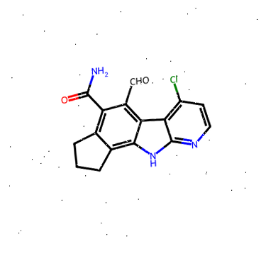 NC(=O)c1c2c(c3[nH]c4nccc(Cl)c4c3c1C=O)CCC2